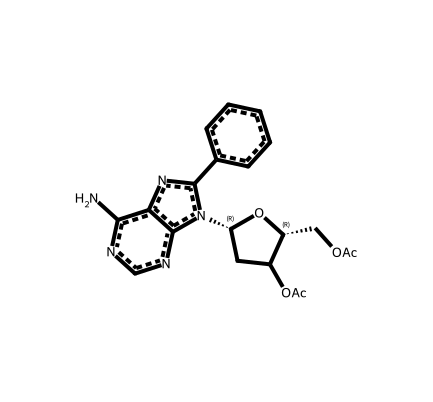 CC(=O)OC[C@H]1O[C@@H](n2c(-c3ccccc3)nc3c(N)ncnc32)CC1OC(C)=O